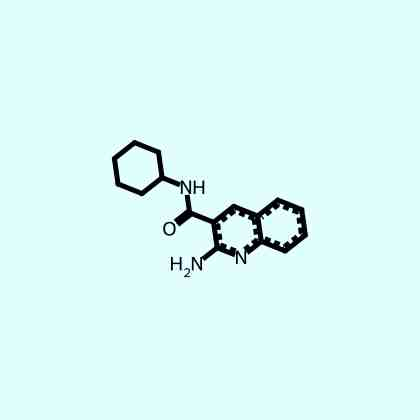 Nc1nc2ccccc2cc1C(=O)NC1CCCCC1